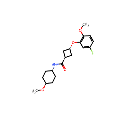 COc1ccc(F)cc1O[C@H]1C[C@H](C(=O)N[C@H]2CC[C@H](OC)CC2)C1